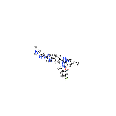 CC(NC(=O)c1cc(C#N)cnc1NCc1ccc(-c2cnc(NCCCN(C)C)cn2)cc1)c1ccc(F)cc1